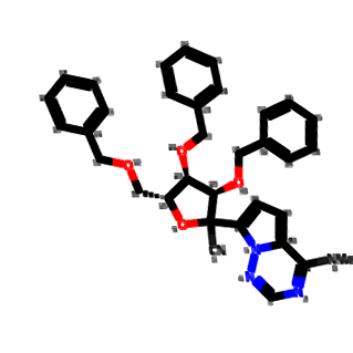 CNc1ncnn2c(C3(C#N)O[C@H](COCc4ccccc4)[C@@H](OCc4ccccc4)[C@H]3OCc3ccccc3)ccc12